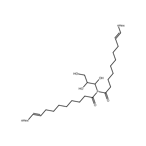 CCCCCCC=CCCCCCCCC(=O)P(C(=O)CCCCCCCC=CCCCCCC)C(O)C(O)CO